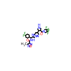 Cc1nonc1C(=O)NC(c1cn2ncc(C3CNCC3C(=O)N3CC(F)(F)C(F)(F)C3)cc2n1)C1CCC(F)(F)CC1